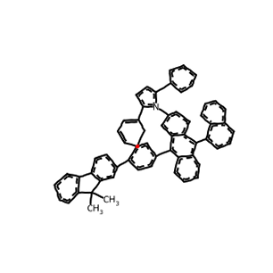 CC1(C)c2ccccc2-c2ccc(-c3ccc(-c4c5ccccc5c(-c5cccc6ccccc56)c5ccc(-n6c(C7=CC=CCC7)ccc6-c6ccccc6)cc45)cc3)cc21